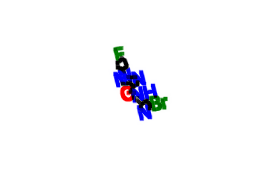 O=C(NCc1cncc(Br)c1)c1cncc2c1cnn2-c1ccc(F)cc1